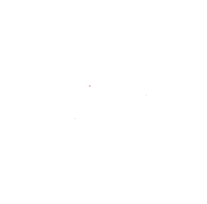 CC1=Cc2c(-c3cccc4ccccc34)cccc2[CH]1[Zr](=[SiH2])([c]1ccccc1)([c]1ccccc1)[CH]1C(C)=Cc2c(-c3cccc4ccccc34)cccc21.Cl.Cl